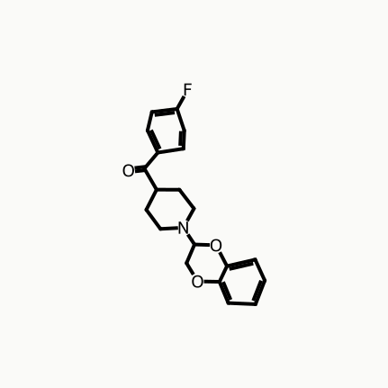 O=C(c1ccc(F)cc1)C1CCN(C2COc3ccccc3O2)CC1